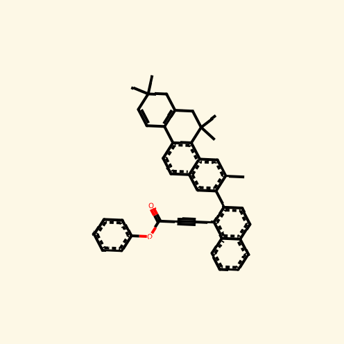 Cc1cc2c3c(ccc2cc1-c1ccc2ccccc2c1C#CC(=O)Oc1ccccc1)C1=C(CC(C)(C)C=C1)CC3(C)C